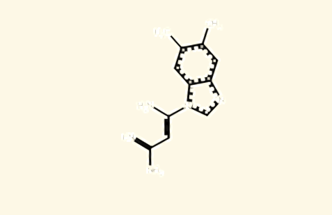 Cc1cc2ncn(/C(N)=C/C(=N)N)c2cc1C